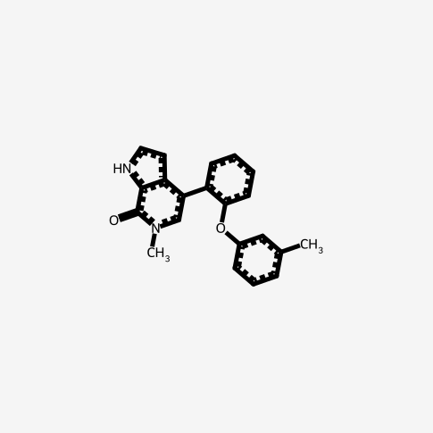 Cc1cccc(Oc2ccccc2-c2cn(C)c(=O)c3[nH]ccc23)c1